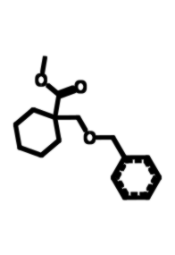 COC(=O)C1(COCc2ccccc2)CCCCC1